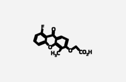 Cc1c(OCC(=O)O)ccc2c(=O)c3c(F)cccc3oc12